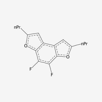 CCCc1cc2c(o1)c(F)c(F)c1oc(CCC)cc12